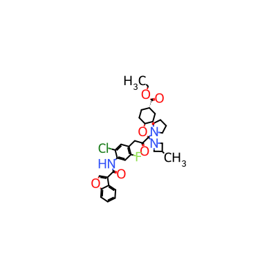 CCOC(=O)[C@H]1CC[C@H](OC(C(=O)Cc2cc(Cl)c(NC(=O)c3coc4ccccc34)cc2F)(N2CCCC2)N2CC(C)C2)CC1